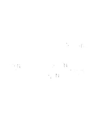 CC(C)(C)C(CCN(C(=O)O)c1nnc(-c2ccc([N+](=O)[O-])cc2)o1)N1CCCCC1